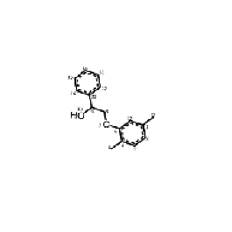 Cc1ccc(C)c(OCC(O)c2ccccc2)c1